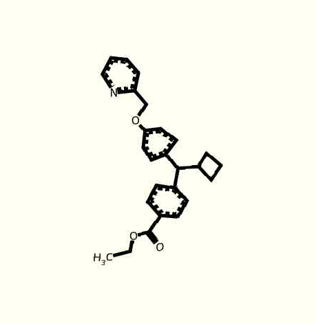 CCOC(=O)c1ccc(C(c2ccc(OCc3ccccn3)cc2)C2CCC2)cc1